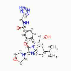 CC(C)C1CCC2(CC1)N=C(N1CCOCC1)C(=O)N2[C@H](CCO)c1ccc(C(=O)NCc2nn[nH]n2)cc1